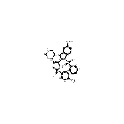 COc1cnc2c(c1)cc(C(=CC1CCOCC1)OS(=O)(=O)c1ccc(C)cc1)n2S(=O)(=O)c1ccccc1